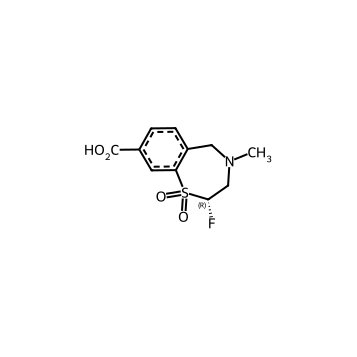 CN1Cc2ccc(C(=O)O)cc2S(=O)(=O)[C@@H](F)C1